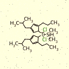 CCCC1=CC(CC(C)C)=C[CH]1[Ti]([Cl])([Cl])([CH]1C=C(CC(C)C)C=C1CCC)[SiH](C)C